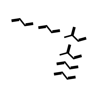 C=CC(=C)C.C=CC(=C)C.C=CC=C.C=CC=C.C=CC=C.C=CC=C